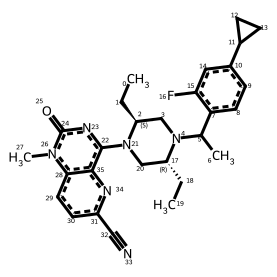 CC[C@H]1CN(C(C)c2ccc(C3CC3)cc2F)[C@H](CC)CN1c1nc(=O)n(C)c2ccc(C#N)nc12